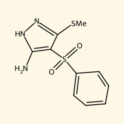 CSc1n[nH]c(N)c1S(=O)(=O)c1ccccc1